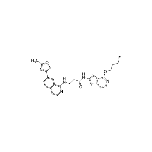 Cc1nc(-c2ccc3ccnc(NCCC(=O)Nc4nc5ccnc(OCCCF)c5s4)c3c2)no1